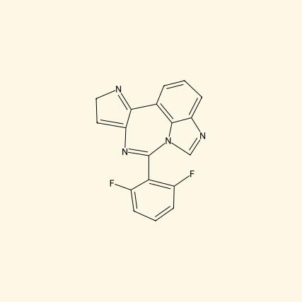 Fc1cccc(F)c1C1=NC2=CCN=C2c2cccc3ncn1c23